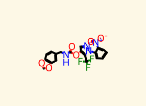 O=C(NCc1ccc2c(c1)OCO2)Oc1cnn(-c2ccccc2[N+](=O)[O-])c1C(F)(F)F